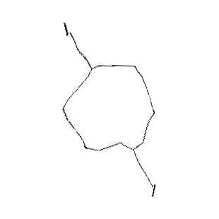 IC1CCC(I)CC1